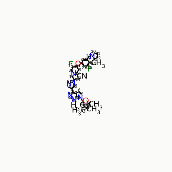 CC(OCn1ccc2c(-c3cnn(C(CC#N)CN4CCC(Oc5cc(F)cc(CN6CCC[C@H]6C)c5)C(F)C4)c3)ncnc21)[Si](C)(C)C